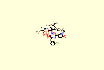 C=C(/C=C\C(=C/C)OC)[C@H](NC(=O)[C@H](Cc1cccc(Cl)c1)NC(=O)c1ccc(=O)n(CC(=O)O)c1)C(=O)N[C@H](C(=O)C(F)(F)F)C(C)C